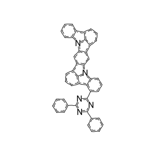 c1ccc(-c2nc(-c3ccccc3)nc(-c3cccc4c3c3cccc5c6cc7c(cc6n4c53)c3cccc4c5ccccc5n7c43)n2)cc1